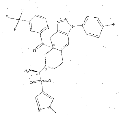 Cn1cc(S(=O)(=O)[C@@H](N)[C@H]2CCC3=Cc4c(cnn4-c4ccc(F)cc4)C[C@]3(C(=O)c3cc(C(F)(F)F)ccn3)C2)cn1